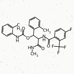 CNC(=O)C(NC(=O)c1ccc(F)cc1C(F)(F)F)C(OC(=O)Nc1ccccc1C)c1ccccc1C